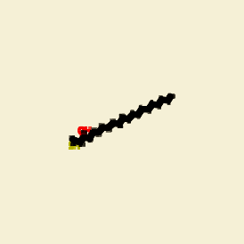 CCCCCCCCCCCCCCCCCCC(O)CCS